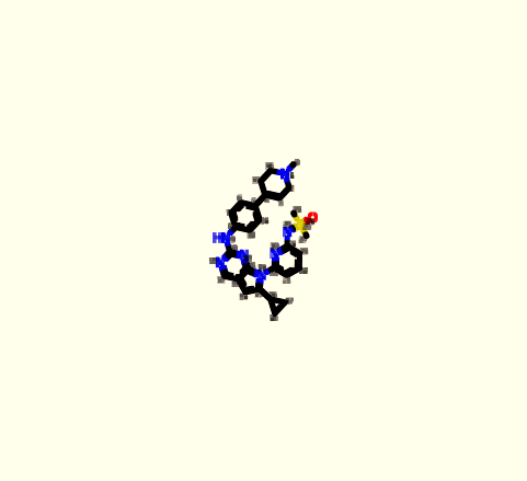 CN1CC=C(c2ccc(Nc3ncc4cc(C5CC5)n(-c5cccc(N=S(C)(C)=O)n5)c4n3)cc2)CC1